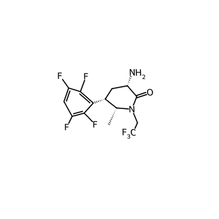 C[C@@H]1[C@H](c2c(F)c(F)cc(F)c2F)C[C@H](N)C(=O)N1CC(F)(F)F